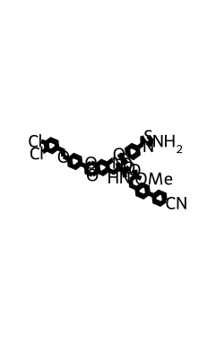 COC(=O)C(Cc1ccc(-c2ccc(C#N)cc2)cc1)NC(=O)C1Cc2cc3c(cc2CN1S(=O)(=O)c1ccc(-c2csc(N)n2)cc1)OC(c1ccc(OCc2ccc(Cl)c(Cl)c2)cc1)CO3